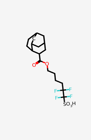 O=C(OCCCCC(F)(F)C(F)(F)S(=O)(=O)O)C1CC2CC3CCC1C(C3)C2